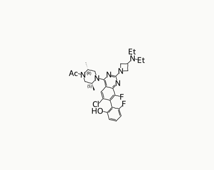 CCN(CC)C1CN(c2nc(N3C[C@@H](C)N(C(C)=O)C[C@@H]3C)c3cc(Cl)c(-c4c(O)cccc4F)c(F)c3n2)C1